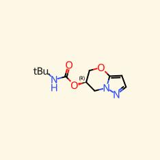 CC(C)(C)NC(=O)O[C@H]1COc2ccnn2C1